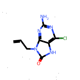 C=CCn1c(=O)[nH]c2c(Cl)nc(N)nc21